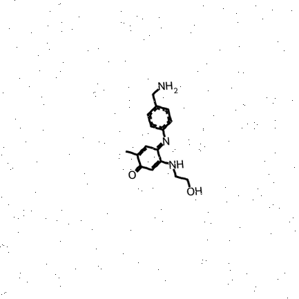 CC1=CC(=Nc2ccc(CN)cc2)C(NCCO)=CC1=O